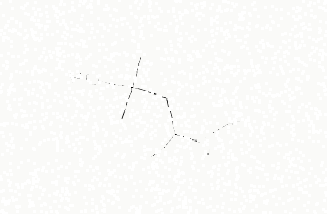 CC(C)OC(C)CC(C)(C)O